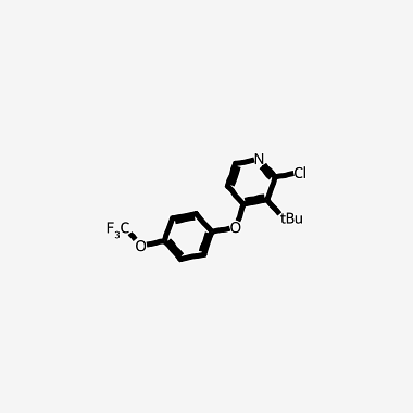 CC(C)(C)c1c(Oc2ccc(OC(F)(F)F)cc2)ccnc1Cl